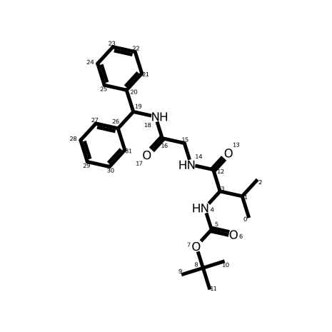 CC(C)C(NC(=O)OC(C)(C)C)C(=O)NCC(=O)NC(c1ccccc1)c1ccccc1